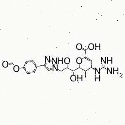 C[C@H]1C(C(O)C(O)Cn2cc(-c3ccc(OC=O)cc3)nn2)OC(C(=O)O)=C[C@H]1NC(=N)N